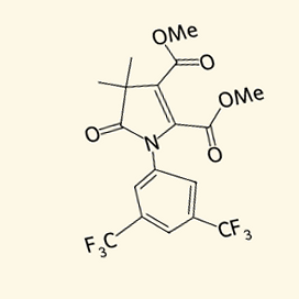 COC(=O)C1=C(C(=O)OC)C(C)(C)C(=O)N1c1cc(C(F)(F)F)cc(C(F)(F)F)c1